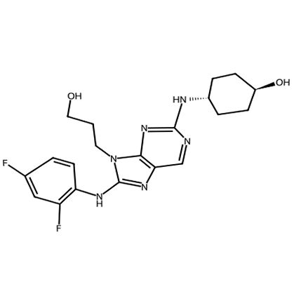 OCCCn1c(Nc2ccc(F)cc2F)nc2cnc(N[C@H]3CC[C@H](O)CC3)nc21